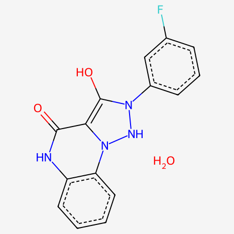 O.O=C1Nc2ccccc2N2NN(c3cccc(F)c3)C(O)=C12